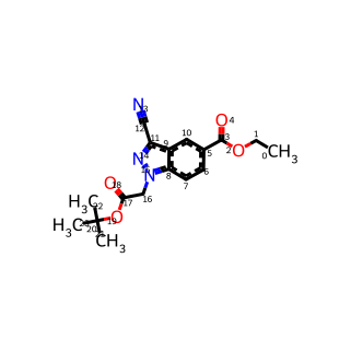 CCOC(=O)c1ccc2c(c1)c(C#N)nn2CC(=O)OC(C)(C)C